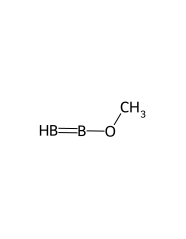 B=BOC